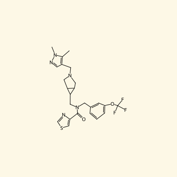 Cc1c(CN2CC3C(C2)C3CN(Cc2cccc(OC(F)(F)F)c2)C(=O)c2cscn2)cnn1C